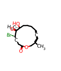 CC1=C=C=CCCC[C@](C)(O)C(=O)[C@H](Br)CCC(=O)OC1